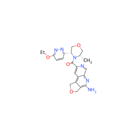 CCOc1ccc([C@@H]2COC[C@H](C)N2C(=O)c2cc3c4c(c(N)nc3cn2)COC4)nn1